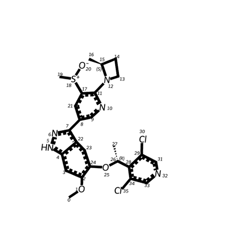 COc1cc2[nH]nc(-c3cnc(N4CC[C@@H]4C)c([S+](C)[O-])c3)c2cc1O[C@H](C)c1c(Cl)cncc1Cl